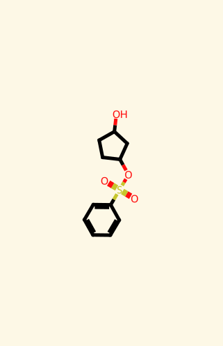 O=S(=O)(OC1CCC(O)C1)c1ccccc1